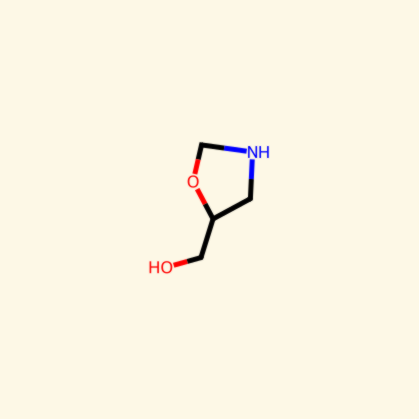 OCC1CNCO1